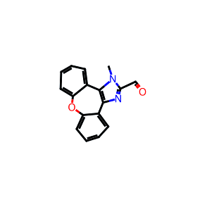 Cn1c(C=O)nc2c1-c1ccccc1Oc1ccccc1-2